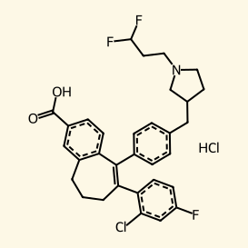 Cl.O=C(O)c1ccc2c(c1)CCCC(c1ccc(F)cc1Cl)=C2c1ccc(CC2CCN(CCC(F)F)C2)cc1